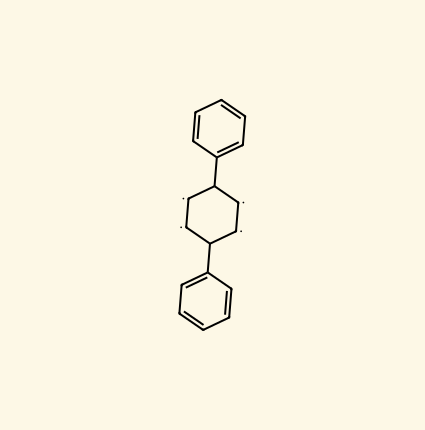 [CH]1[CH]C(c2ccccc2)[CH][CH]C1c1ccccc1